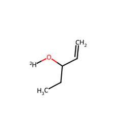 [2H]OC(C=C)CC